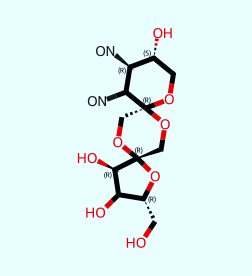 O=NC1[C@@H](N=O)[C@H](O)CO[C@]12CO[C@]1(CO2)O[C@H](CO)C(O)[C@H]1O